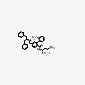 CSCC[C@H](NC(=O)c1ccc(CNC(Cc2ccccc2)Cc2ccccc2)cc1-c1ccccc1C)C(=O)O